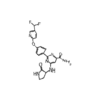 NC(=O)c1cc(NC2CCNC2=O)nc(-c2ccc(Oc3ccc(C(F)F)cn3)cc2)n1